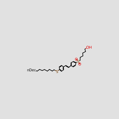 CCCCCCCCCCCCCCCCCCSc1ccc(C=Cc2ccc(S(=O)(=O)CCCCCCO)cc2)cc1